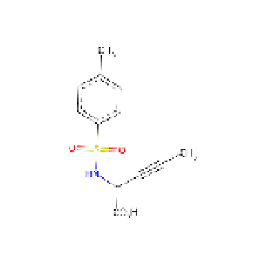 CC#CC(NS(=O)(=O)c1ccc(C)cc1)C(=O)O